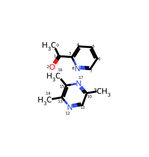 CC(=O)c1ccccn1.Cc1cnc(C)c(C)n1